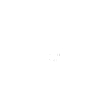 [CaH2].[KH].[Mn].[NaH]